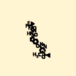 C[C@H]1Cc2c(ncnc2Oc2ccc3c(c2)CCN3C(=O)Nc2cc(C3(C(F)(F)F)CC3)on2)CN1C(=O)C1CC1